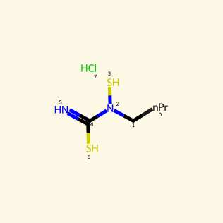 CCCCN(S)C(=N)S.Cl